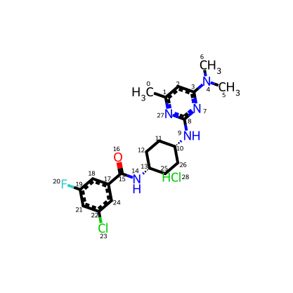 Cc1cc(N(C)C)nc(N[C@H]2CC[C@@H](NC(=O)c3cc(F)cc(Cl)c3)CC2)n1.Cl